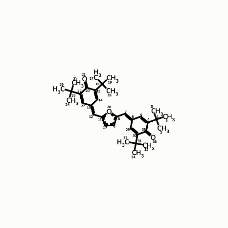 CC(C)(C)C1=CC(=Cc2ccc(C=C3C=C(C(C)(C)C)C(=O)C(C(C)(C)C)=C3)o2)C=C(C(C)(C)C)C1=O